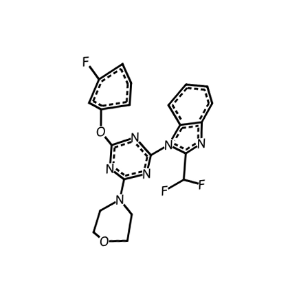 Fc1cccc(Oc2nc(N3CCOCC3)nc(-n3c(C(F)F)nc4ccccc43)n2)c1